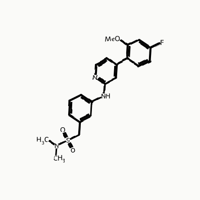 COc1cc(F)ccc1-c1ccnc(Nc2cccc(CS(=O)(=O)N(C)C)c2)c1